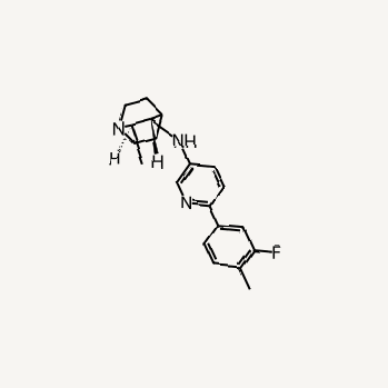 Cc1ccc(-c2ccc(N[C@H]3C4CCN(CC4)[C@@H]3C)cn2)cc1F